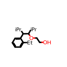 CCc1ccccc1C(C(C)C)C(OCCO)C(C)C